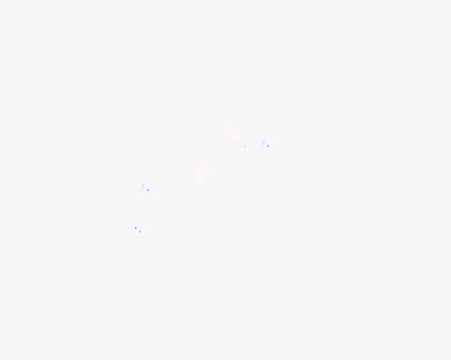 CCc1ccc(NC(=O)c2ccc(-c3c(-c4ccc(F)cc4)ncn3C3CCCC3)o2)cc1